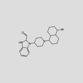 O=CC1Nc2ccccc2N1C1CCN(C2CCCC3C(Br)CCCC32)CC1